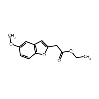 CCOC(=O)Cc1cc2cc(OC)ccc2o1